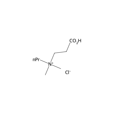 CCC[N+](C)(C)CCC(=O)O.[Cl-]